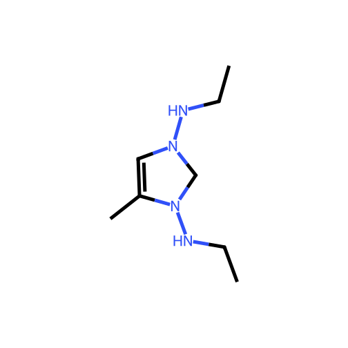 CCNN1C=C(C)N(NCC)C1